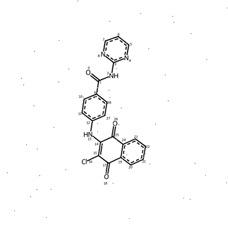 O=C(Nc1ncccn1)c1ccc(NC2=C(Cl)C(=O)c3ccccc3C2=O)cc1